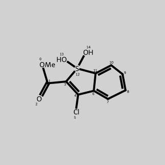 COC(=O)C1=C(Cl)c2ccccc2S1(O)O